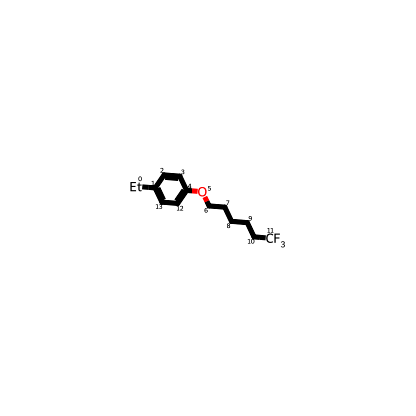 CCc1ccc(OCCCCCC(F)(F)F)cc1